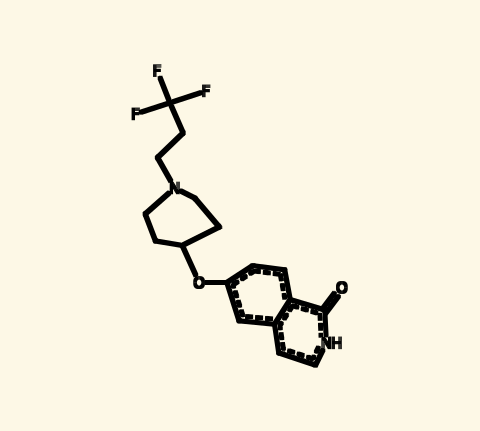 O=c1[nH]ccc2cc(OC3CCN(CCC(F)(F)F)CC3)ccc12